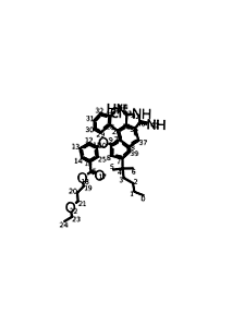 CCCCC(C)(C)c1cc(Oc2cccc(C(=O)OCCCOCC)c2)c2c(-c3ccccc3Cl)c3c(cc2c1)C(=N)NC3=N